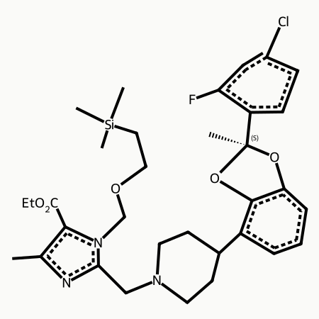 CCOC(=O)c1c(C)nc(CN2CCC(c3cccc4c3O[C@@](C)(c3ccc(Cl)cc3F)O4)CC2)n1COCC[Si](C)(C)C